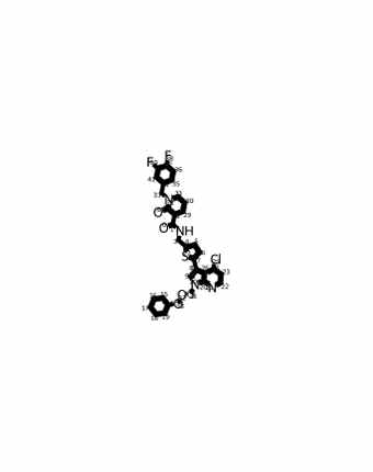 O=C(NCc1ccc(-c2cn(SOOc3ccccc3)c3nccc(Cl)c23)s1)c1cccn(Cc2ccc(F)c(F)c2)c1=O